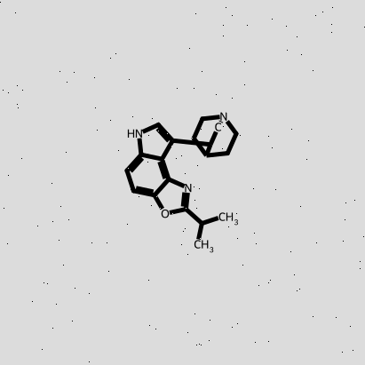 CC(C)c1nc2c(ccc3[nH]cc(C4CN5CCC4CC5)c32)o1